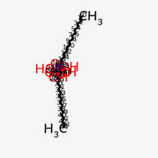 CCCCCCCCCCCCCCCCCC(=O)N([C@](CO)(C(=O)O)C(=O)CCCCCCCCCCCCCCCCC)P(=O)(O)O